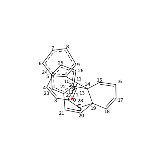 C1=CC23C=Cc4ccccc4C2(C=C1)C12C=CC=CC1(C=Cc1ccccc12)S3